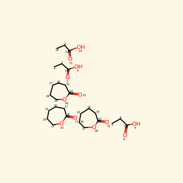 CCC(=O)O.CCC(=O)O.CCC(=O)O.O=C1CCCCCO1.O=C1CCCCCO1.O=C1CCCCCO1